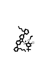 C=CCOc1c(Cl)cc(C(C)(C)C)cc1[Si](C)(C)C1c2cc(-c3ccccc3CCCC)ccc2-c2ccc(-c3ccccc3CCCC)cc21